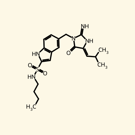 CCCCNS(=O)(=O)c1cc2cc(CN3C(=N)N/C(=C\C(C)C)C3=O)ccc2[nH]1